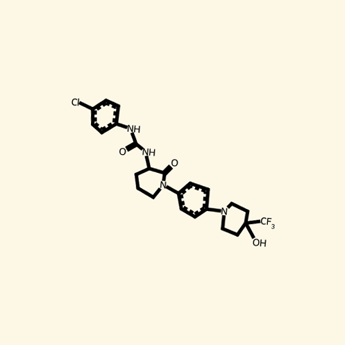 O=C(Nc1ccc(Cl)cc1)NC1CCCN(c2ccc(N3CCC(O)(C(F)(F)F)CC3)cc2)C1=O